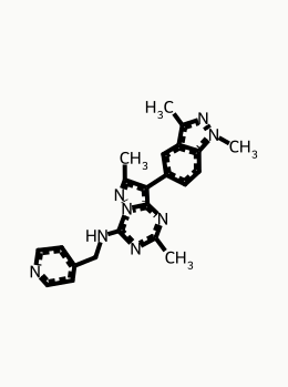 Cc1nc(NCc2ccncc2)n2nc(C)c(-c3ccc4c(c3)c(C)nn4C)c2n1